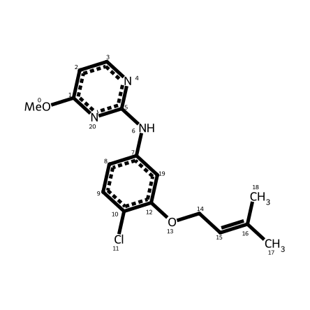 COc1ccnc(Nc2ccc(Cl)c(OCC=C(C)C)c2)n1